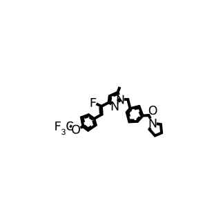 Cc1cc(/C(F)=C/c2ccc(OC(F)(F)F)cc2)nn1Cc1cccc(C(=O)N2CCCC2)c1